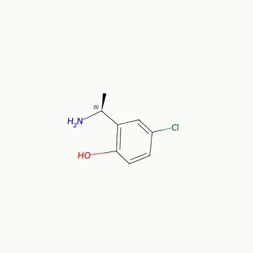 C[C@H](N)c1cc(Cl)ccc1O